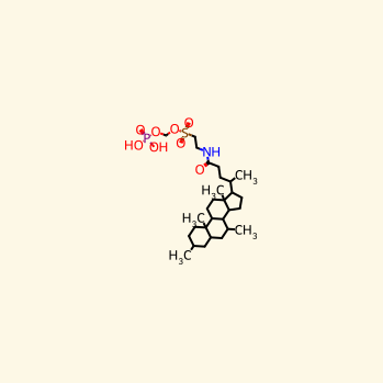 CC1CCC2(C)C(C1)CC(C)C1C2CCC2(C)C(C(C)CCC(=O)NCCS(=O)(=O)OCOP(=O)(O)O)CCC12